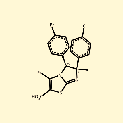 CC(C)C1=C(C(=O)O)SC2=N[C@@](C)(c3ccc(Cl)cc3)[C@H](c3ccc(Br)cn3)N21